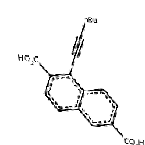 CCCCC#Cc1c(C(=O)O)ccc2cc(C(=O)O)ccc12